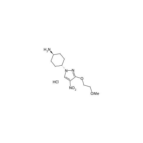 COCCOc1nn([C@H]2CC[C@H](N)CC2)cc1[N+](=O)[O-].Cl